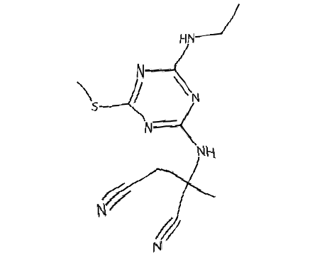 CCNc1nc(NC(C)(C#N)CC#N)nc(SC)n1